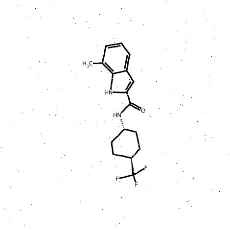 Cc1cccc2cc(C(=O)N[C@H]3CC[C@H](C(F)(F)F)CC3)[nH]c12